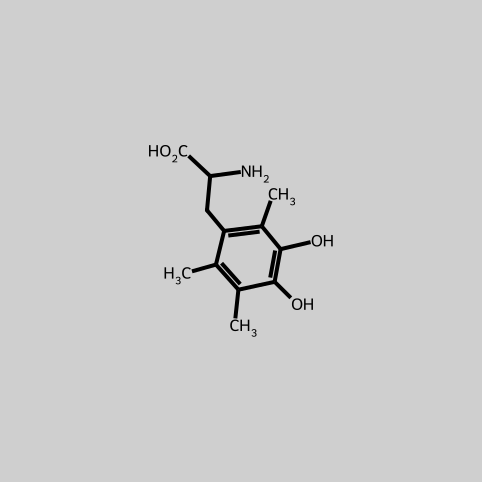 Cc1c(C)c(CC(N)C(=O)O)c(C)c(O)c1O